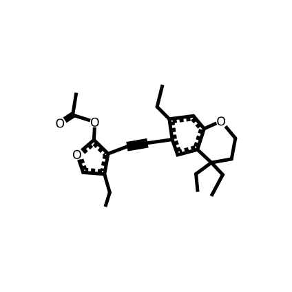 CCc1cc2c(cc1C#Cc1c(CC)coc1OC(C)=O)C(CC)(CC)CCO2